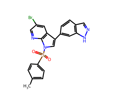 Cc1ccc(S(=O)(=O)n2cc(-c3ccc4cn[nH]c4c3)c3cc(Br)cnc32)cc1